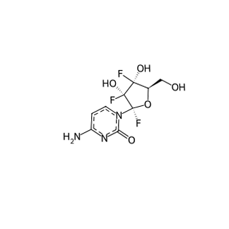 Nc1ccn([C@]2(F)O[C@H](CO)[C@](O)(F)[C@]2(O)F)c(=O)n1